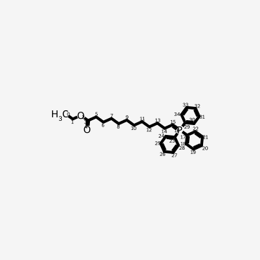 CCOC(=O)CCCCCCCCCCC=P(c1ccccc1)(c1ccccc1)c1ccccc1